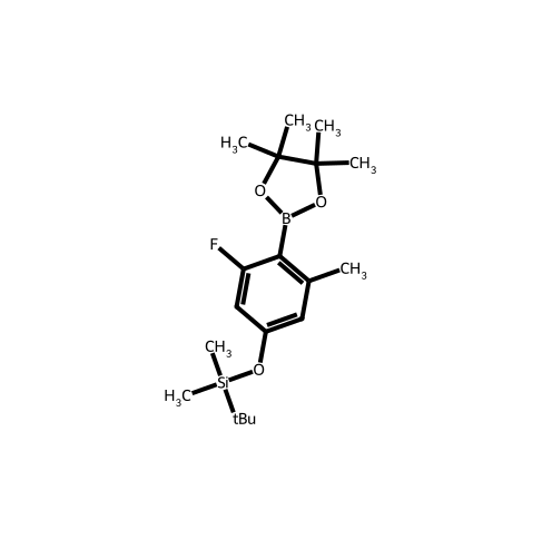 Cc1cc(O[Si](C)(C)C(C)(C)C)cc(F)c1B1OC(C)(C)C(C)(C)O1